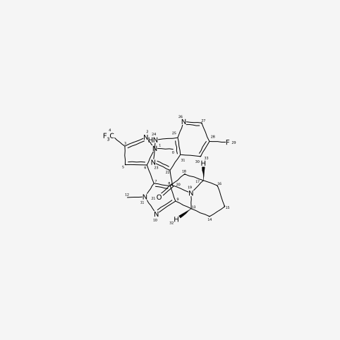 Cn1nc(C(F)(F)F)cc1-c1c2c(nn1C)[C@H]1CCC[C@@H](C2)N1C(=O)c1n[nH]c2ncc(F)cc12